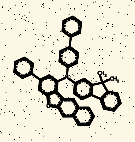 CC1(C)c2ccccc2-c2ccc(N(c3ccc(-c4ccccc4)cc3)c3cc(-c4ccccc4)cc4oc5cc6ccccc6cc5c34)cc21